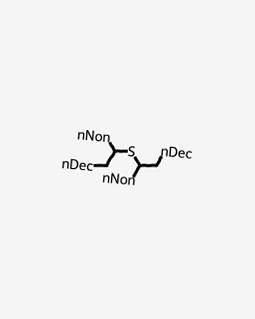 CCCCCCCCCCCC(CCCCCCCCC)SC(CCCCCCCCC)CCCCCCCCCCC